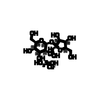 O=S(=O)(O)O.OC[C@H]1O[C@@](CO)(O[C@H]2O[C@H](CO)[C@@H](O)[C@H](O)[C@H]2O)[C@@H](O)[C@@H]1O.[Cu]